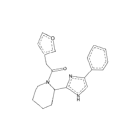 O=C(Cc1ccoc1)N1CCCCC1c1nc(-c2ccccc2)c[nH]1